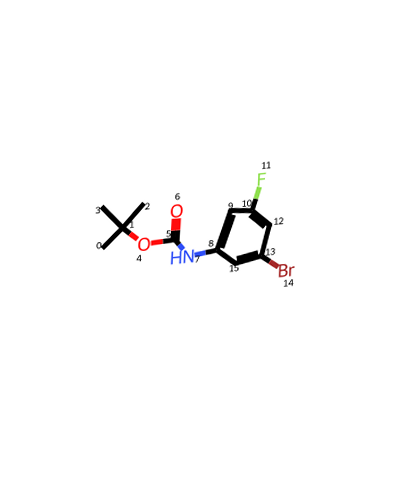 CC(C)(C)OC(=O)Nc1cc(F)cc(Br)c1